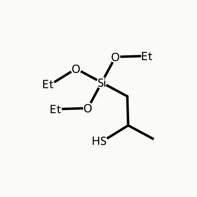 CCO[Si](CC(C)S)(OCC)OCC